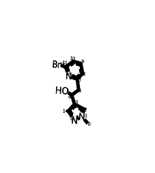 Cn1cc(C(O)Cc2cccc(Br)n2)cn1